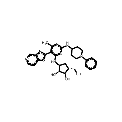 Cc1nc(NC2CCN(c3ccccc3)CC2)nc(NC2C[C@H](CO)[C@@H](O)[C@H]2O)c1-c1nc2cnccc2s1